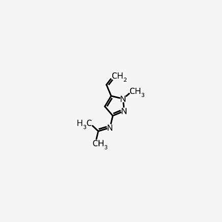 C=Cc1cc(N=C(C)C)nn1C